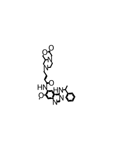 COc1cc2ncnc(NC(C)c3ccccc3)c2cc1NC(=O)C=CCN1CCN2CC(=O)OCC2C1